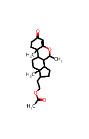 CC(=O)OCCC1CCC2C3C(C)OC4=CC(=O)CCC4(C)C3CCC12C